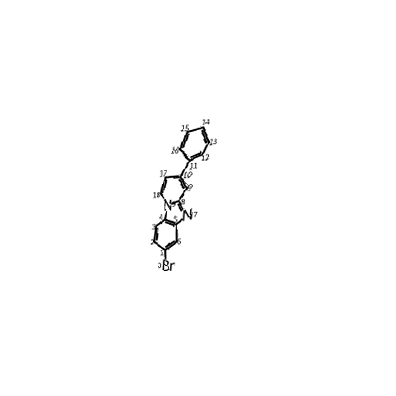 Brc1ccc2c(c1)nc1cc(-c3ccccc3)ccn12